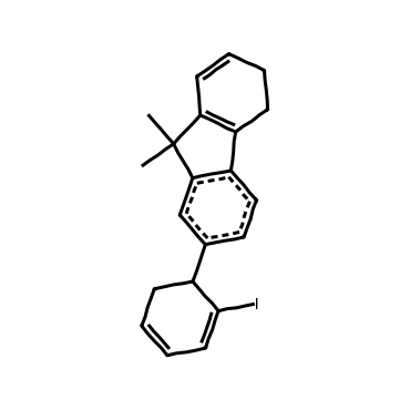 CC1(C)C2=C(CCC=C2)c2ccc(C3CC=CC=C3I)cc21